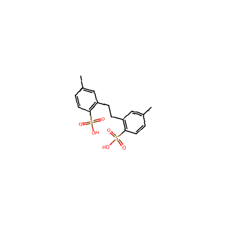 Cc1ccc(S(=O)(=O)O)c(CCc2cc(C)ccc2S(=O)(=O)O)c1